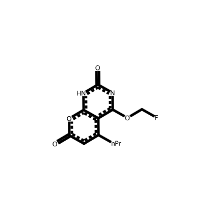 CCCc1cc(=O)oc2[nH]c(=O)nc(OCF)c12